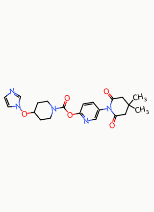 CC1(C)CC(=O)N(c2ccc(OC(=O)N3CCC(On4ccnc4)CC3)nc2)C(=O)C1